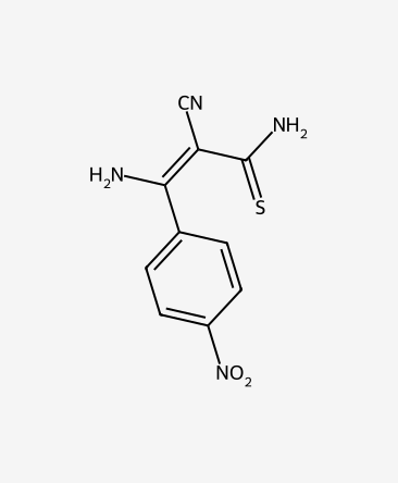 N#CC(C(N)=S)=C(N)c1ccc([N+](=O)[O-])cc1